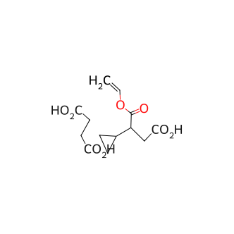 C=COC(=O)C(CC(=O)O)C1CC1.O=C(O)CCC(=O)O